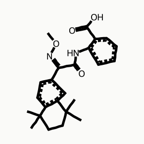 CON=C(C(=O)Nc1ccccc1C(=O)O)c1ccc2c(c1)C(C)(C)CCC2(C)C